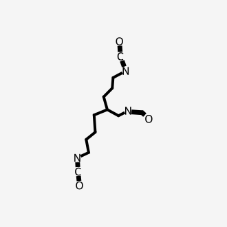 O=C=NCCCCC(CCCN=C=O)CN=C=O